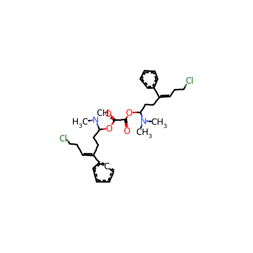 CN(C)C(CCC(=CCCCl)c1ccccc1)OC(=O)C(=O)OC(CCC(=CCCCl)c1ccccc1)N(C)C